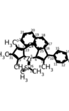 CC1=C(C)[CH]([Zr]([C]2=C(C)C(c3ccccc3)c3ccc4ccccc4c32)=[Si](C)C)C(C)=C1C